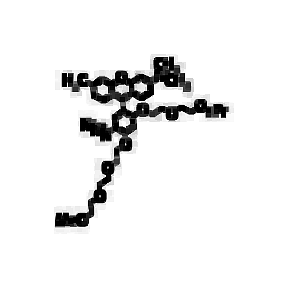 CCCOCCOCCOc1cc(OCCOCCOCCOC)c(N=[N+]=[N-])cc1-c1c2ccc(=[N+](C)C)cc-2oc2cc(C)ccc12